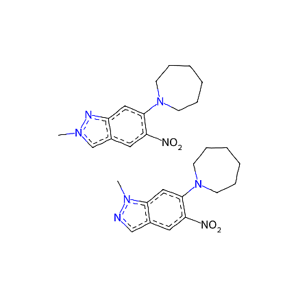 Cn1cc2cc([N+](=O)[O-])c(N3CCCCCC3)cc2n1.Cn1ncc2cc([N+](=O)[O-])c(N3CCCCCC3)cc21